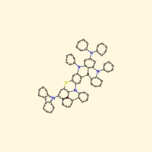 c1ccc(-c2ccccc2N2c3ccc(-n4c5ccccc5c5ccccc54)cc3Sc3cc4c(cc32)B2c3ccccc3N(c3ccccc3)c3cc(N(c5ccccc5)c5ccccc5)cc(c32)N4c2ccccc2)cc1